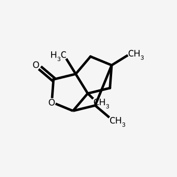 CC1C2OC(=O)C3(C)CC1(C)CC23C